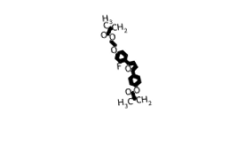 C=C(C)C(=O)OCCOc1ccc(-c2ccc(-c3ccc(OC(=O)C(=C)C)cc3)o2)c(F)c1